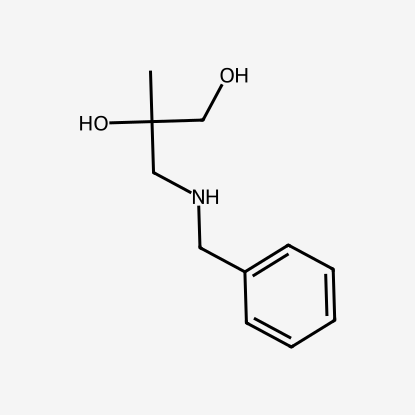 CC(O)(CO)CNCc1ccccc1